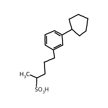 CC(CCCc1cccc(C2CCCCC2)c1)S(=O)(=O)O